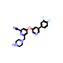 N#Cc1cc(Oc2cncc(-c3ccc(F)c(F)c3)c2)cc(CN2CCNCC2)n1